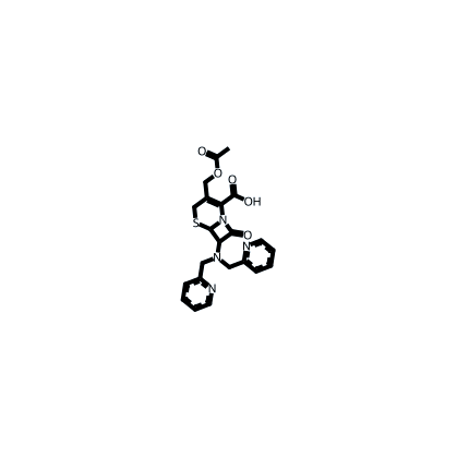 CC(=O)OCC1=C(C(=O)O)N2C(=O)C(N(Cc3ccccn3)Cc3ccccn3)C2SC1